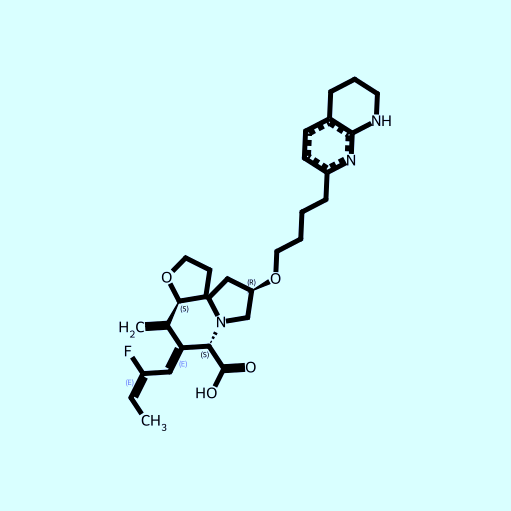 C=C(/C(=C\C(F)=C/C)[C@@H](C(=O)O)N1CC[C@@H](OCCCCc2ccc3c(n2)NCCC3)C1)[C@@H]1CCCO1